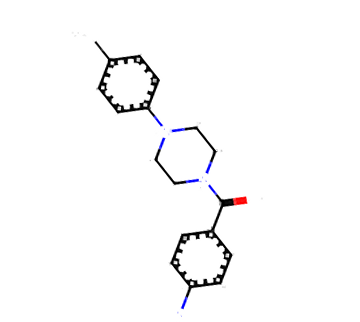 CSc1ccc(N2CCN(C(=O)c3ccc(N)cc3)CC2)cc1